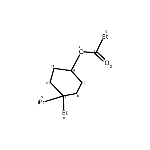 CCC(=O)OC1CCC(CC)(C(C)C)CC1